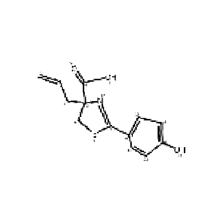 C=CCC1(C(=O)O)CSC(c2ccc(O)cc2)=N1